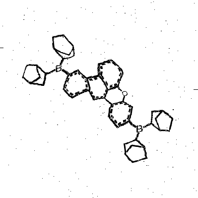 c1cc2c3c(cc4ccc(B(C5CC6CCC5C6)C5CC6CCC5C6)cc4c3c1)-c1ccc(B(C3CC4CCC3C4)C3CC4CCC3C4)cc1O2